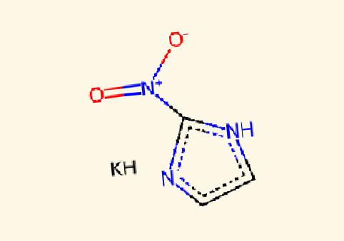 O=[N+]([O-])c1ncc[nH]1.[KH]